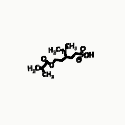 C=C(C)C(=O)OCCC(CCS(=O)(=O)O)N(C)C